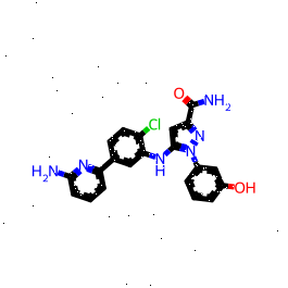 NC(=O)c1cc(Nc2cc(-c3cccc(N)n3)ccc2Cl)n(-c2cccc(O)c2)n1